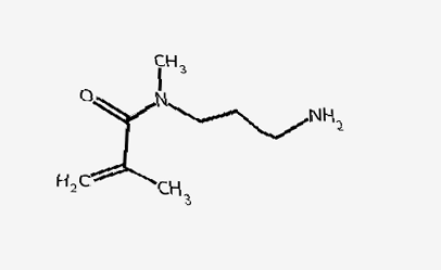 C=C(C)C(=O)N(C)CCCN